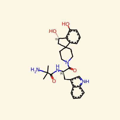 CC(C)(N)C(=O)N[C@H](Cc1c[nH]c2ccccc12)C(=O)N1CCC2(CC1)C[C@H](O)c1c(O)cccc12